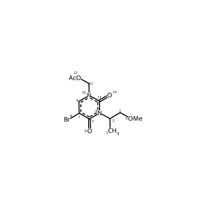 COCC(C)n1c(=O)c(Br)cn(COC(C)=O)c1=O